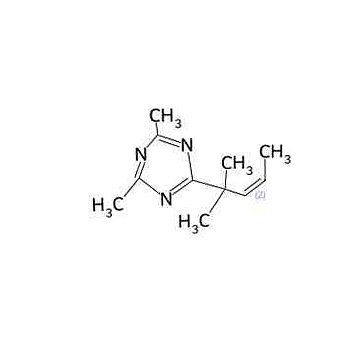 C/C=C\C(C)(C)c1nc(C)nc(C)n1